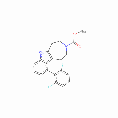 CC(C)(C)OC(=O)N1CCc2[nH]c3cccc(-c4c(F)cccc4F)c3c2CC1